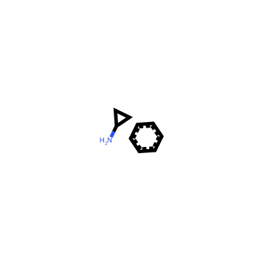 NC1CC1.c1ccccc1